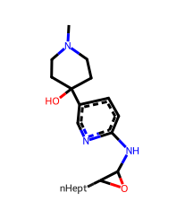 CCCCCCCC1OC1Nc1ccc(C2(O)CCN(C)CC2)cn1